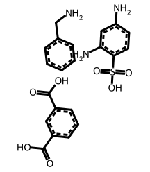 NCc1ccccc1.Nc1ccc(S(=O)(=O)O)c(N)c1.O=C(O)c1cccc(C(=O)O)c1